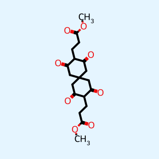 COC(=O)CCC1C(=O)CC2(CC1=O)CC(=O)C(CCC(=O)OC)C(=O)C2